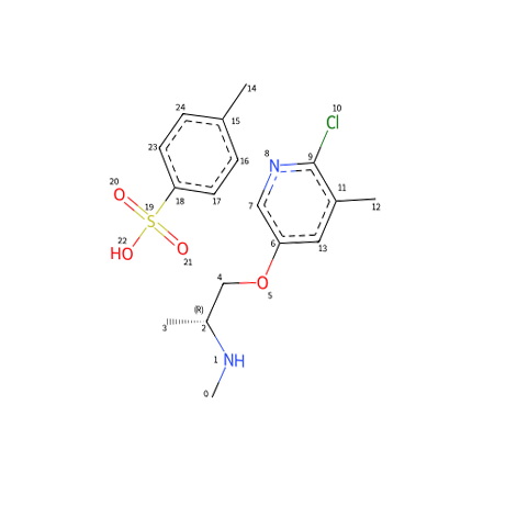 CN[C@H](C)COc1cnc(Cl)c(C)c1.Cc1ccc(S(=O)(=O)O)cc1